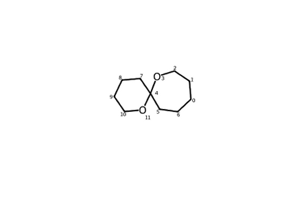 C1CCOC2(CC1)CCCCO2